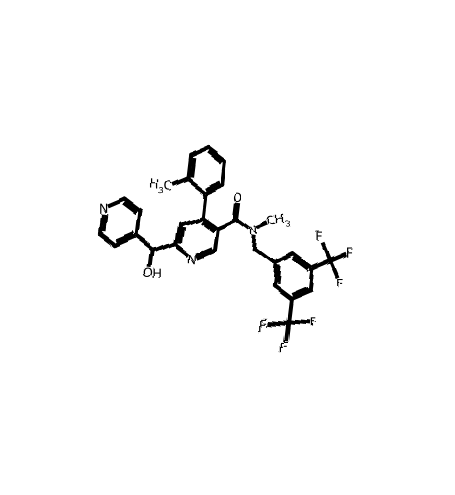 Cc1ccccc1-c1cc(C(O)c2ccncc2)ncc1C(=O)N(C)Cc1cc(C(F)(F)F)cc(C(F)(F)F)c1